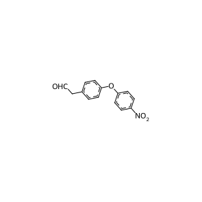 O=CCc1ccc(Oc2ccc([N+](=O)[O-])cc2)cc1